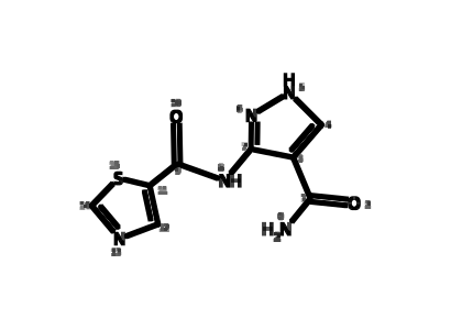 NC(=O)c1c[nH]nc1NC(=O)c1cncs1